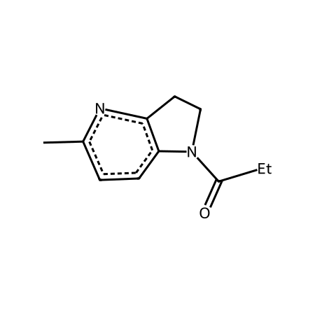 CCC(=O)N1CCc2nc(C)ccc21